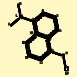 CN(C)c1cccc2c(SCl)cccc12